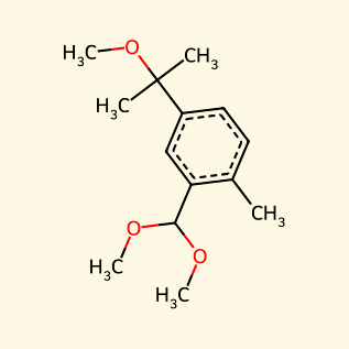 COC(OC)c1cc(C(C)(C)OC)ccc1C